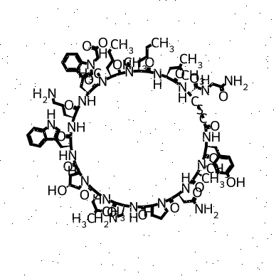 CCCC[C@H]1C(O)N(C)[C@@H](CCCC)C(=O)N[C@@H](CC(C)C)C(=O)N[C@H](C(=O)NCC(N)=O)CSCC(=O)N[C@@H](Cc2ccc(O)cc2)C(=O)N(C)[C@@H](C)C(=O)N[C@@H](CC(N)=O)C(=O)N2CCC[C@H]2C(=O)N[C@@H](CN)C(=O)N[C@@H](CC(C)C)C(=O)N2C[C@H](O)C[C@H]2C(=O)N[C@@H](Cc2c[nH]c3ccccc23)C(=O)N[C@@H](CCCN)C(=O)N[C@@H](Cc2cn(CC(=O)O)c3ccccc23)C(=O)N1C